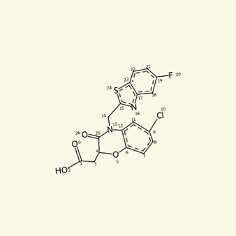 O=C(O)CC1Oc2ccc(Cl)cc2N(Cc2nc3cc(F)ccc3s2)C1=O